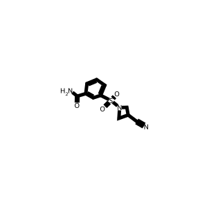 N#CC1CN(S(=O)(=O)c2cccc(C(N)=O)c2)C1